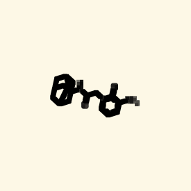 Nc1cccn(CC(=O)NC23CC4CC(CC(C4)C2)C3)c1=O